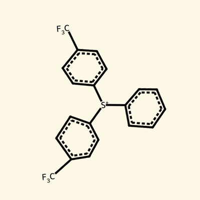 FC(F)(F)c1ccc([S+](c2ccccc2)c2ccc(C(F)(F)F)cc2)cc1